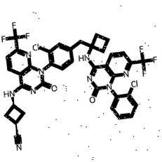 N#C[C@H]1C[C@@H](Nc2nc(=O)n(-c3ccc(CC4(Nc5nc(=O)n(-c6ccccc6Cl)c6nc(C(F)(F)F)ccc56)CCC4)cc3Cl)c3nc(C(F)(F)F)ccc23)C1